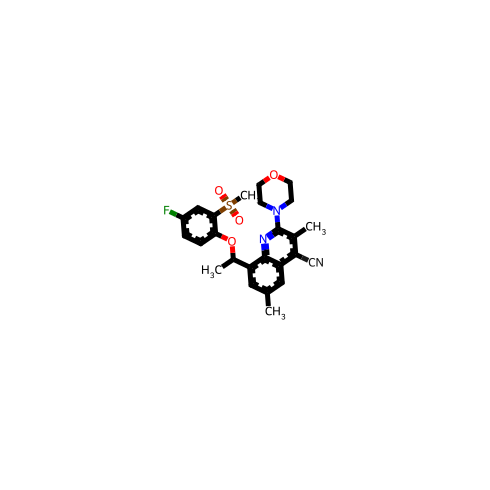 Cc1cc(C(C)Oc2ccc(F)cc2S(C)(=O)=O)c2nc(N3CCOCC3)c(C)c(C#N)c2c1